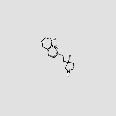 FC1(CCc2ccc3c(n2)NCCC3)CCNC1